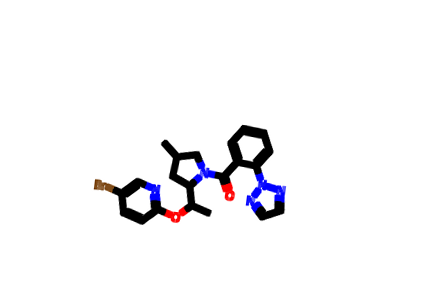 CC1CC(C(C)Oc2ccc(Br)cn2)N(C(=O)c2ccccc2-n2nccn2)C1